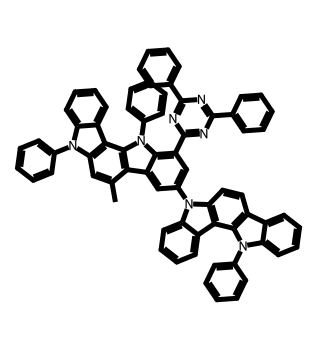 Cc1cc2c(c3ccccc3n2-c2ccccc2)c2c1c1cc(-n3c4ccccc4c4c3ccc3c5ccccc5n(-c5ccccc5)c34)cc(-c3nc(-c4ccccc4)nc(-c4ccccc4)n3)c1n2-c1ccccc1